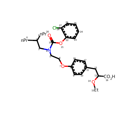 CCCC(CCC)CN(CCOc1ccc(CC(OCC)C(=O)O)cc1)C(=O)Oc1ccccc1Cl